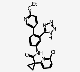 CCOc1ccc(-c2ccc(NC(=O)C3(c4cccc(Cl)n4)CC3)cc2-c2nnn[nH]2)cn1